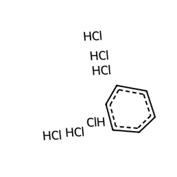 Cl.Cl.Cl.Cl.Cl.Cl.c1ccccc1